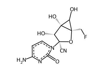 N#C[C@@]1(n2ccc(N)nc2=O)O[C@]2(CF)C(O)[C@]2(O)[C@H]1O